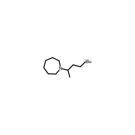 CCC(C)CCC(C)N1CCCCCC1